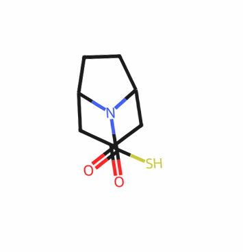 O=C1CC2CCC(C1)N2C(=O)S